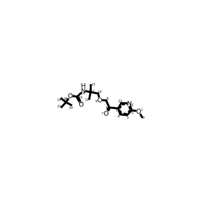 COc1ccc(C(=O)COCC(C)(C)NC(=O)OC(C)(C)C)cn1